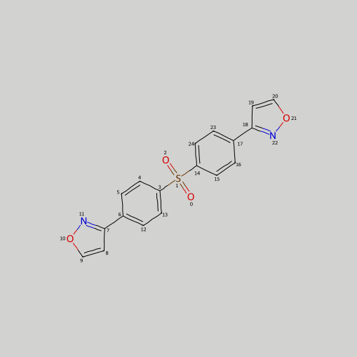 O=S(=O)(c1ccc(-c2ccon2)cc1)c1ccc(-c2ccon2)cc1